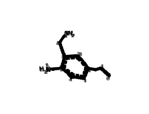 CCc1ccc(N)c(CN)c1